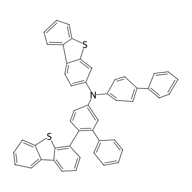 c1ccc(-c2ccc(N(c3ccc(-c4cccc5c4sc4ccccc45)c(-c4ccccc4)c3)c3ccc4c(c3)sc3ccccc34)cc2)cc1